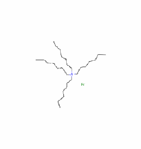 CCCCCCC[N+](CCCCCCC)(CCCCCCC)CCCCCCC.[Br-]